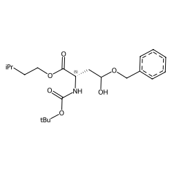 CC(C)CCOC(=O)[C@H](CC(O)OCc1ccccc1)NC(=O)OC(C)(C)C